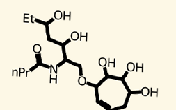 CCCC(=O)NC(COC1C=CCC(O)C(O)C1O)C(O)CC(O)CC